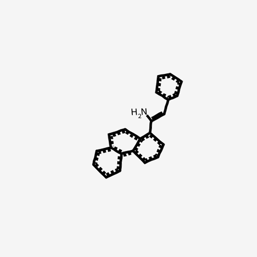 NC(=Cc1ccccc1)c1cccc2c1ccc1ccccc12